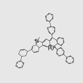 C[C@]1(c2ccc(-c3ccccc3)cc2)c2ccccc2C(c2ccc(-c3ccccc3)cc2)=C2C=C3C(=C[C@H]21)C1C=CC(C2C=CCC(c4ccccc4)C2)=CC1[Si]3(C)C